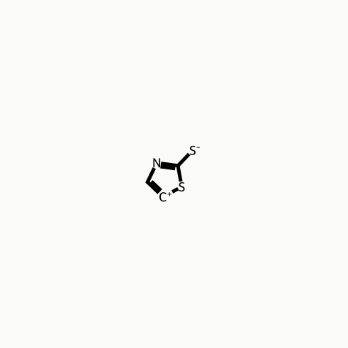 [S-]C1=NC=[C+]S1